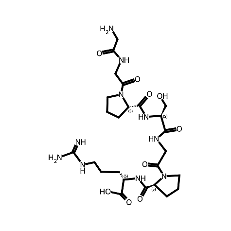 N=C(N)NCCC[C@H](NC(=O)[C@@H]1CCCN1C(=O)CNC(=O)[C@H](CO)NC(=O)[C@@H]1CCCN1C(=O)CNC(=O)CN)C(=O)O